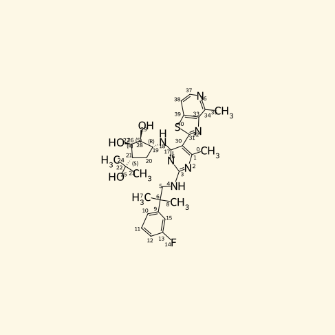 Cc1nc(NCC(C)(C)c2cccc(F)c2)nc(N[C@@H]2C[C@H](C(C)(C)O)[C@@H](O)[C@H]2O)c1-c1nc2c(C)nccc2s1